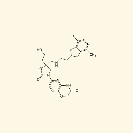 Cc1ncc(F)c2c1CC(CCNCC1(CCO)CN(c3ccc4c(n3)NC(=O)CO4)C(=O)O1)C2